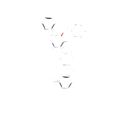 O=c1c(OC2CCCCC2)c(N2CCN(Cc3cc(O)cc(O)c3)CC2)cnn1-c1ccccc1